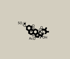 CC(=O)OC[C@]12CC[C@H]3[C@@H](CC=C4C[C@@H](OS(=O)(=O)O)CC(=O)[C@@]43C)[C@]1(O)[C@@H](OC(C)=O)C[C@@]2(O)[C@@](C)(O)[C@H]1CC(C)=C(C)C(=O)O1